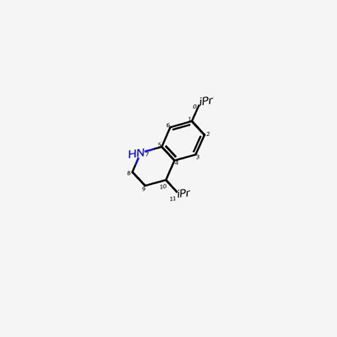 CC(C)c1ccc2c(c1)NCCC2C(C)C